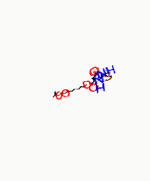 C=C(C)OCOCCCCCCOC(=O)c1cc(=O)[nH]c(=S)[nH]1